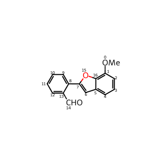 COc1cccc2cc(-c3ccccc3C=O)oc12